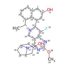 CCc1cccc2cc(O)cc(-c3ncc4c(N5C6CCC5CC(O)C6)nc(OC)nc4c3F)c12